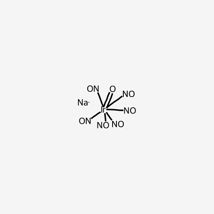 O=[N][Ir](=[O])([N]=O)([N]=O)([N]=O)([N]=O)[N]=O.[Na]